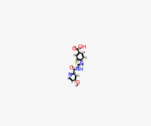 COc1ccnc(C(=O)Nc2nc3ccc(C(=O)O)cc3s2)c1